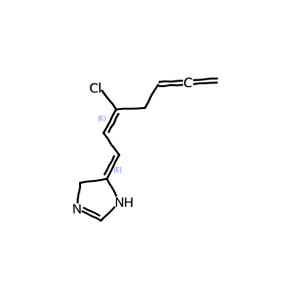 C=C=CC/C(Cl)=C\C=C1/CN=CN1